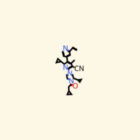 C=Cc1cc(-c2c(C3CC3)nc(N3CCN(C(=O)CC4CC4)C(C4CC4)C3)c(C#N)c2C)ccn1